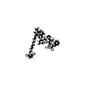 CC[C@H](C)[C@@H]([C@@H](CC(=O)N1CCC[C@H]1[C@H](OC)[C@@H](C)C(=S)N[C@@H](Cc1ccccc1)C(=O)O)OC)N(C)C(=O)[C@@H](NC(=O)[C@H](C(C)C)N(C)C(=O)CCOCCOCCOCCN1C(=O)C=CC1=O)C(C)C